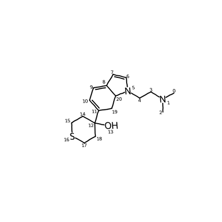 CN(C)CCN1C=CC2=CC=C(C3(O)CCSCC3)CC21